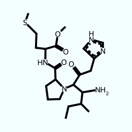 CCC(C)C(N)C(C(=O)Cc1c[nH]cn1)N1CCCC1C(=O)NC(CCSC)C(=O)OC